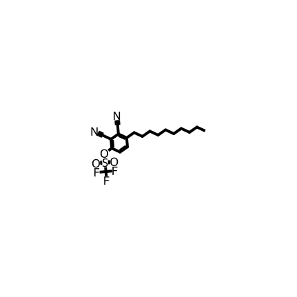 CCCCCCCCCCc1ccc(OS(=O)(=O)C(F)(F)F)c(C#N)c1C#N